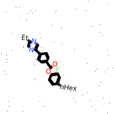 CCCCCCc1ccc(OC(=O)c2ccc(-c3cnc(CC)cn3)cc2)c(F)c1